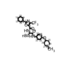 CCCCC(NC(=O)c1oc(-c2ccccc2)nc1C(F)(F)F)C(=O)Nc1ccc(OC2CCN(C)CC2)nc1